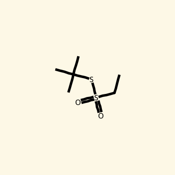 CCS(=O)(=O)SC(C)(C)C